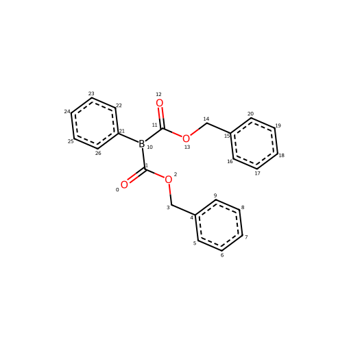 O=C(OCc1ccccc1)B(C(=O)OCc1ccccc1)c1ccccc1